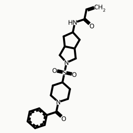 C=CC(=O)NC1CC2CN(S(=O)(=O)C3CCN(C(=O)c4ccccc4)CC3)CC2C1